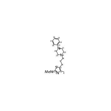 CNc1nc(C)c(CCCN2CCN(c3ccccc3)CC2)s1